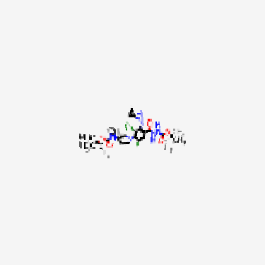 CN(C(=O)OC(C)(C)C)C1CCN(c2c(F)cc(C(=O)NNC(=O)OC(C)(C)C)c(NC3CC3)c2Cl)C1